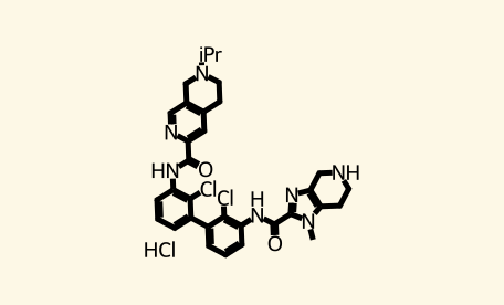 CC(C)N1CCc2cc(C(=O)Nc3cccc(-c4cccc(NC(=O)c5nc6c(n5C)CCNC6)c4Cl)c3Cl)ncc2C1.Cl